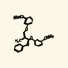 COc1cccc(OC=C(C)C(=Nc2ccccc2)Oc2cccc(OC)c2)c1